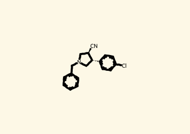 N#C[C@@H]1CN(Cc2ccccc2)C[C@H]1c1ccc(Cl)cc1